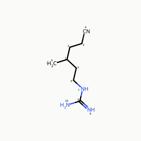 [CH2]C(CCC#N)CCNC(=N)N